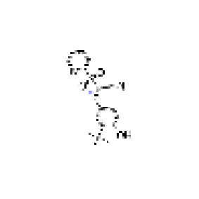 CC(C)(C)c1cc(/C=C(\C#N)S(=O)(=O)c2ccccn2)ccc1O